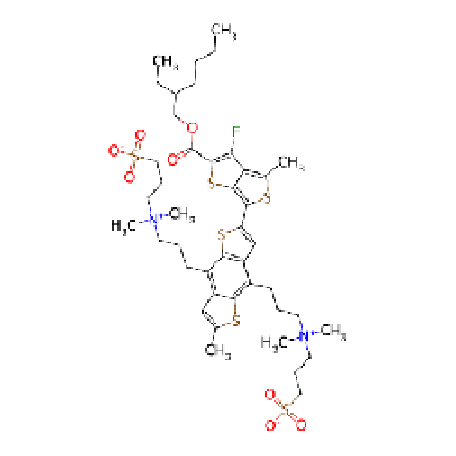 CCCCC(CC)COC(=O)c1sc2c(-c3cc4c(CCC[N+](C)(C)CCCS(=O)(=O)[O-])c5sc(C)cc5c(CCC[N+](C)(C)CCCS(=O)(=O)[O-])c4s3)sc(C)c2c1F